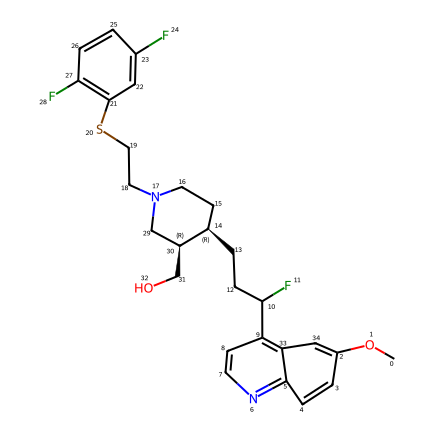 COc1ccc2nccc(C(F)CC[C@@H]3CCN(CCSc4cc(F)ccc4F)C[C@@H]3CO)c2c1